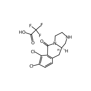 O=C(O)C(F)(F)F.O=C1c2c(ccc(Cl)c2Cl)C[C@@H]2CNCCN12